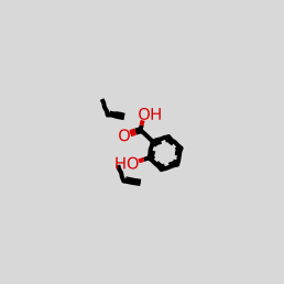 C=CC.C=CC.O=C(O)c1ccccc1O